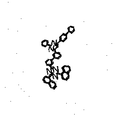 c1ccc(-c2ccc(-c3cc(-c4cccc(-c5cccc(-c6nc(-c7cccc8ccccc78)nc(-c7cccc8ccccc78)n6)c5)c4)nc(-c4ccccc4)n3)cc2)cc1